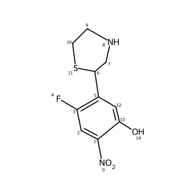 O=[N+]([O-])c1cc(F)c(C2CNCCS2)cc1O